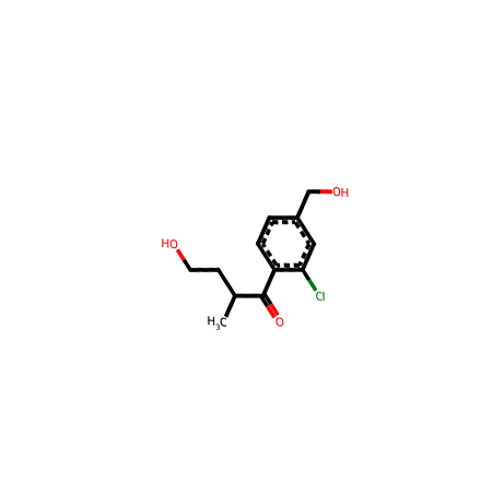 CC(CCO)C(=O)c1ccc(CO)cc1Cl